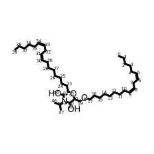 CCCCC/C=C\C/C=C\CCCCCCCCOCC(OCCCCCCCC/C=C\C/C=C\CCCCC)C(O)N(CO)C(C)C